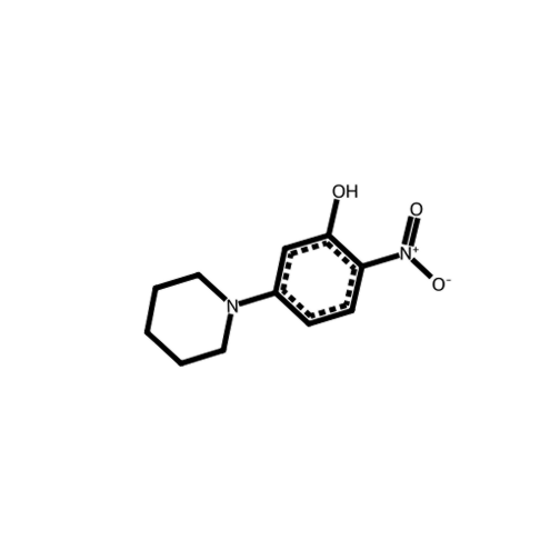 O=[N+]([O-])c1ccc(N2CCCCC2)cc1O